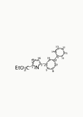 CCOC(=O)c1nc(-c2cccc(-c3ccccc3)c2)cs1